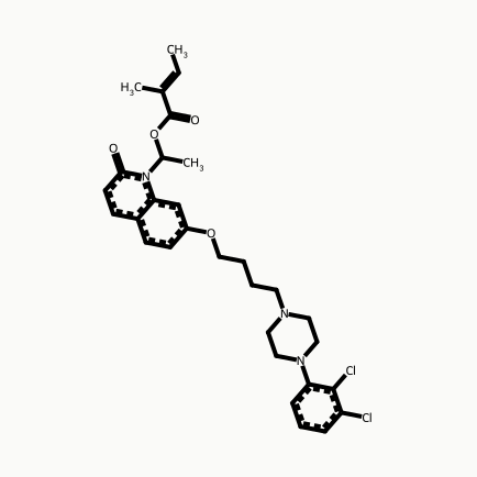 C/C=C(\C)C(=O)OC(C)n1c(=O)ccc2ccc(OCCCCN3CCN(c4cccc(Cl)c4Cl)CC3)cc21